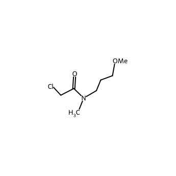 COCCCN(C)C(=O)CCl